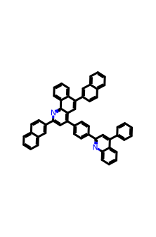 c1ccc(-c2cc(-c3ccc(-c4cc(-c5ccc6ccccc6c5)nc5c4cc(-c4ccc6ccccc6c4)c4ccccc45)cc3)nc3ccccc23)cc1